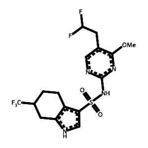 COc1nc(NS(=O)(=O)c2c[nH]c3c2CCC(C(F)(F)F)C3)ncc1CC(F)F